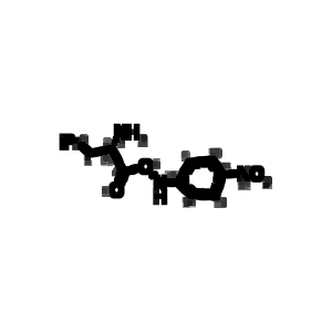 CC(C)C[C@H](N)C(=O)ONc1ccc([N+](=O)[O-])cc1